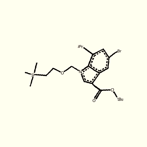 CC(C)c1cc(Br)cc2c(C(=O)OC(C)(C)C)cn(COCC[Si](C)(C)C)c12